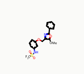 COc1oc(-c2ccccc2)nc1COc1cccc(NS(=O)(=O)C(F)(F)F)c1